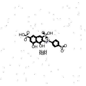 O=[N+]([O-])c1ccc(/N=N/c2c(S(=O)(=O)O)cc3cc(S(=O)(=O)O)cc(O)c3c2O)cc1.[NaH].[NaH]